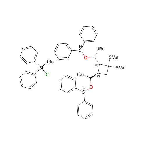 CC(C)(C)[Si](Cl)(c1ccccc1)c1ccccc1.CSC1(SC)C[C@@H](C(O[SiH](c2ccccc2)c2ccccc2)C(C)(C)C)[C@@H]1C(O[SiH](c1ccccc1)c1ccccc1)C(C)(C)C